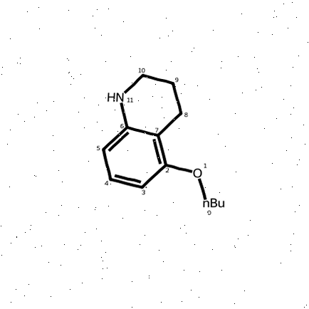 CCCCOc1[c]ccc2c1CCCN2